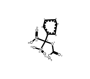 CC(=O)OC(c1ccccc1)([N+](=O)[O-])[N+](=O)[O-]